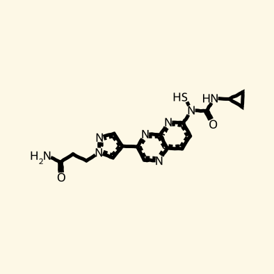 NC(=O)CCn1cc(-c2cnc3ccc(N(S)C(=O)NC4CC4)nc3n2)cn1